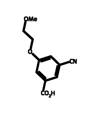 COCCOc1cc(C#N)cc(C(=O)O)c1